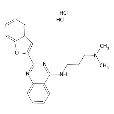 CN(C)CCCNc1nc(-c2cc3ccccc3o2)nc2ccccc12.Cl.Cl